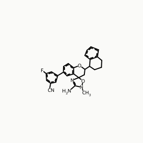 CN1OC2(CC(C3CCCc4ccccc43)Oc3ccc(-c4cc(F)cc(C#N)c4)cc32)N=C1N